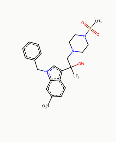 CS(=O)(=O)N1CCN(CC(O)(c2cn(Cc3ccccc3)c3cc([N+](=O)[O-])ccc23)C(F)(F)F)CC1